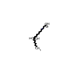 CCCCCCCC(O)(O)CCCCCC/C=C/CC(=O)O